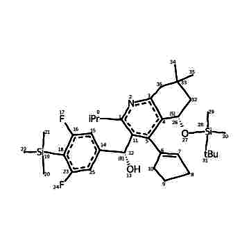 CC(C)c1nc2c(c(C3=CCCC3)c1[C@H](O)c1cc(F)c([Si](C)(C)C)c(F)c1)[C@@H](O[Si](C)(C)C(C)(C)C)CC(C)(C)C2